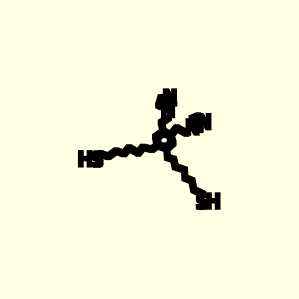 SCCCCCCCCc1cc(CCn2ccnc2)c(CCn2ccnc2)cc1CCCCCCCCS